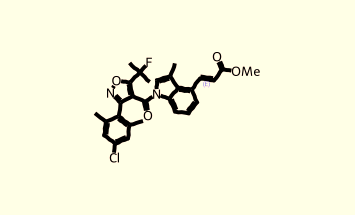 COC(=O)/C=C/c1cccc2c1c(C)cn2C(=O)c1c(-c2c(C)cc(Cl)cc2C)noc1C(C)(C)F